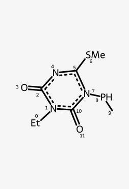 CCn1c(=O)nc(SC)n(PC)c1=O